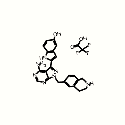 Nc1ncnc2c1c(-c1cc3cc(O)ccc3[nH]1)nn2Cc1ccc2c(c1)CCNC2.O=C(O)C(F)(F)F